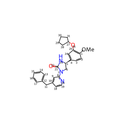 COc1ccc([C@H]2CN(c3cc(Cc4ccccc4)ccn3)C(=O)N2)cc1OC1CCCC1